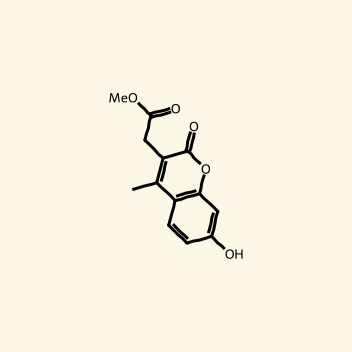 COC(=O)Cc1c(C)c2ccc(O)cc2oc1=O